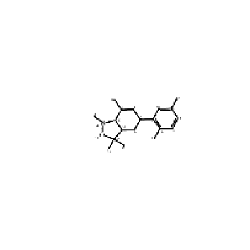 Cc1ccc(C)c(C2CC(C)C3C(C2)C(C)(C)ON3C)c1